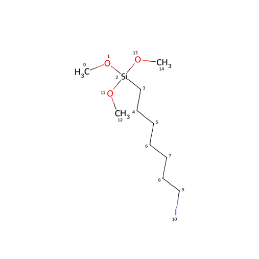 CO[Si](CCCCCCCI)(OC)OC